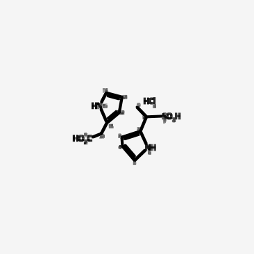 CC(c1ccc[nH]1)S(=O)(=O)O.Cl.O=C(O)Cc1ccc[nH]1